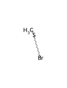 CCCSCCCCCCCCCCCCBr